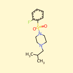 CC(C)CN1CCN(S(=O)(=O)c2ccccc2F)CC1